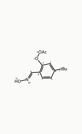 CC(=O)OOc1cc(C(C)(C)C)ccc1C=NO